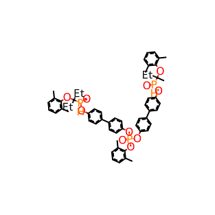 CCC(C)(Oc1c(C)cccc1C)[PH](=O)Oc1ccc(-c2ccc(OP(=O)(Oc3ccc(-c4ccc(O[PH](=O)C(CC)(CC)Oc5c(C)cccc5C)cc4)cc3)Oc3c(C)cccc3C)cc2)cc1